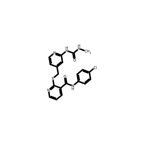 CNC(=O)Nc1cc(CSc2ncccc2C(=O)Nc2ccc(Cl)cc2)ccn1